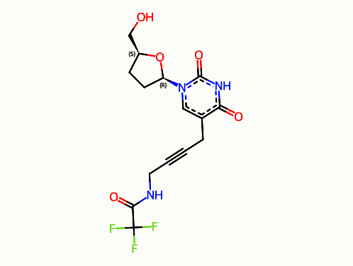 O=C(NCC#CCc1cn([C@H]2CC[C@@H](CO)O2)c(=O)[nH]c1=O)C(F)(F)F